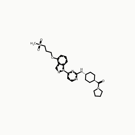 CS(=O)(=O)CCCOc1cccc2c1cnn2-c1ccnc(N[C@H]2CC[C@H](C(=O)N3CCCC3)CC2)n1